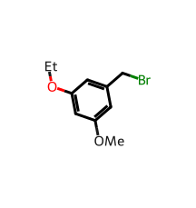 CCOc1cc(CBr)cc(OC)c1